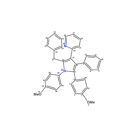 COc1ccc(-c2c(-c3ccccc3)c(-c3ccccn3)c(Cc3ccccc3)n2-c2ccc(OC)cc2)cc1